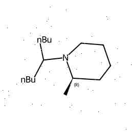 CCCCC(CCCC)N1CCCC[C@H]1C